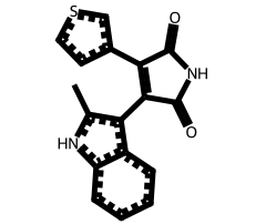 Cc1[nH]c2ccccc2c1C1=C(c2ccsc2)C(=O)NC1=O